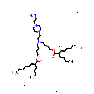 CCCCCCC(CCCC)C(=O)OCCCCN(CCCCOC(=O)C(CCCC)CCCCCC)CCN1CCN(CCN)CC1